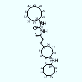 C=C(CCC1CCCC(BC2CCCCCCC2)CCC1)NC(=O)BC1CCCCCCCCC1